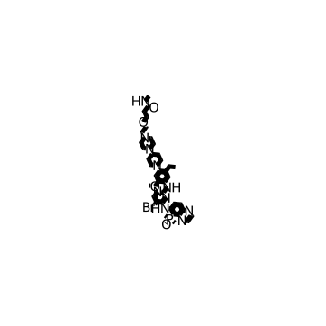 CCc1cc(Nc2ncc(Br)c(Nc3ccc4nccnc4c3P(C)(C)=O)n2)c(OC)cc1N1CCC(N2CCN(CCOCCC(=O)NC)CC2)CC1